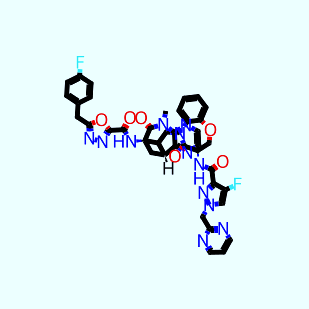 CN1C(=O)[C@@]2(NC(=O)c3nnc(Cc4ccc(F)cc4)o3)C[C@H](c3nccnc31)C2CN1C(=O)[C@@H](NC(=O)c2nn(Cc3ncccn3)cc2F)COc2ccccc21